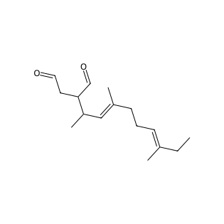 CCC(C)=CCCC(C)=CC(C)C(C=O)CC=O